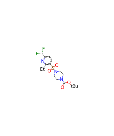 CCc1nc(C(F)F)ccc1S(=O)(=O)N1CCN(C(=O)OC(C)(C)C)CC1